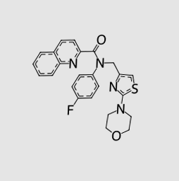 O=C(c1ccc2ccccc2n1)N(Cc1csc(N2CCOCC2)n1)c1ccc(F)cc1